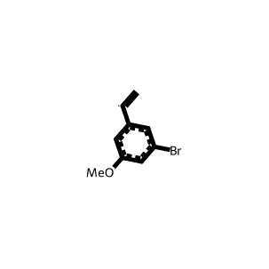 C=[C]c1cc(Br)cc(OC)c1